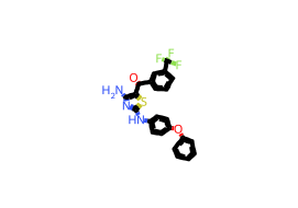 Nc1nc(Nc2ccc(Oc3ccccc3)cc2)sc1C(=O)c1cccc(C(F)(F)F)c1